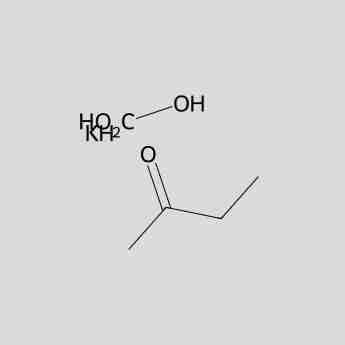 CCC(C)=O.O=C(O)O.[KH]